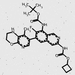 Cc1c(-c2cc3cc(NC(=O)OC4CCC4)ncc3c(NC(=O)OC(C)(C)C)c2F)cnc2c1NCCO2